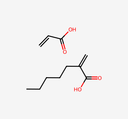 C=C(CCCCC)C(=O)O.C=CC(=O)O